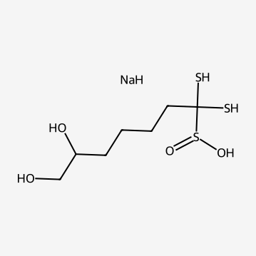 O=S(O)C(S)(S)CCCCC(O)CO.[NaH]